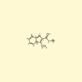 Cc1c(C(=O)CBr)nc2ncccn12